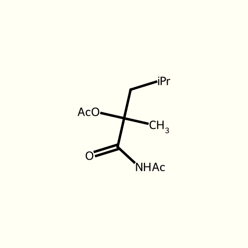 CC(=O)NC(=O)C(C)(CC(C)C)OC(C)=O